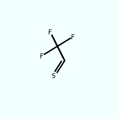 FC(F)(F)C=S